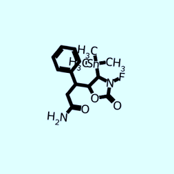 [CH3][Sn]([CH3])([CH3])[CH]1C(C(CC(N)=O)c2ccccc2)OC(=O)N1F